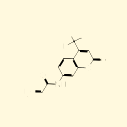 C=CC(=O)Nc1ccc2c(C(F)(F)F)cc(=O)oc2c1